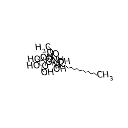 CCCCCCCCCCCCCC[C@@H](O)[C@@H](O)[C@H](COC1OC(CO)C(O)C(O)C1O)NC(=O)C(=O)OCC